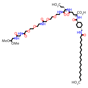 COC(CNC(=O)CNC(=O)COCCOCCNC(=O)COCCOCCNC(=O)[C@H](CCC(=O)O)NC(=O)CC[C@H](NC(=O)[C@H]1CC[C@H](CNC(=O)CCCCCCCCCCCCCCCCCCC(=O)O)CC1)C(=O)O)OC